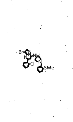 CSc1ccccc1CN1CCC(Nc2cc(-c3ccccc3Cl)nc3c(Br)cnn23)CC1